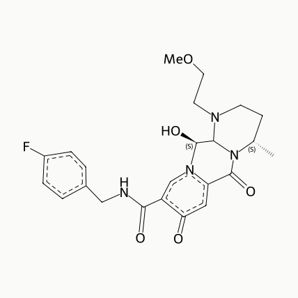 COCCN1CC[C@H](C)N2C(=O)c3cc(=O)c(C(=O)NCc4ccc(F)cc4)cn3[C@@H](O)C12